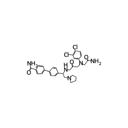 NC(=O)CN(CC(=O)CNC(CN1CCCC1)c1ccc(-c2ccc(C(N)=O)cc2)cc1)c1ccc(Cl)c(Cl)c1